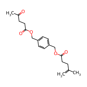 C=C(C)CCC(=O)OCc1ccc(COC(=O)CCC(C)=O)cc1